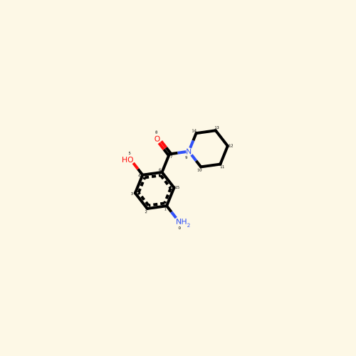 Nc1ccc(O)c(C(=O)N2CCCCC2)c1